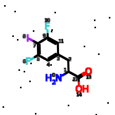 NC(Cc1cc(F)c(I)c(F)c1)C(=O)O